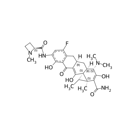 CC1[C@]2(C)C(C(N)=O)=C(O)[C@@H](N(C)C)[C@@H]3C[C@@H]4Cc5c(F)cc(NC(=O)[C@@H]6CCN6C)c(O)c5C(=O)C4=C(O)[C@@]132